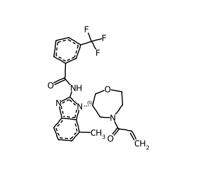 C=CC(=O)N1CCOC[C@@H](n2c(NC(=O)c3cccc(C(F)(F)F)c3)nc3cccc(C)c32)C1